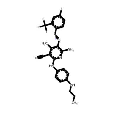 CCCNc1ccc(Nc2nc(N)c(/N=N/c3ccc(F)cc3C(F)(F)F)c(C)c2C#N)cc1